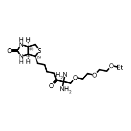 CCOCCOCCOCC(N)(N)C(=O)CCCC[C@@H]1SC[C@@H]2NC(=O)N[C@@H]21